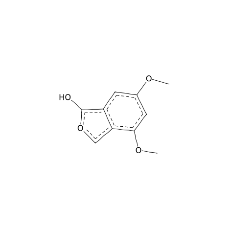 COc1cc(OC)c2coc(O)c2c1